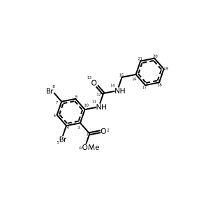 COC(=O)c1c(Br)cc(Br)cc1NC(=O)NCc1ccccc1